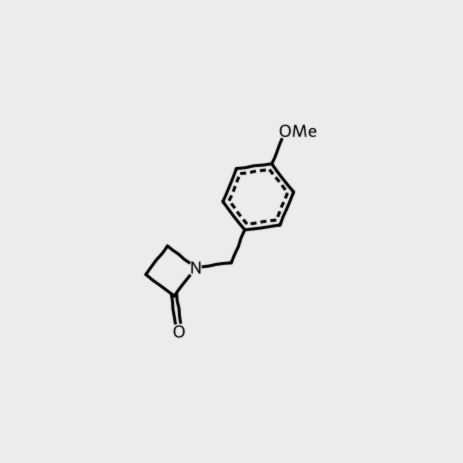 COc1ccc(CN2CCC2=O)cc1